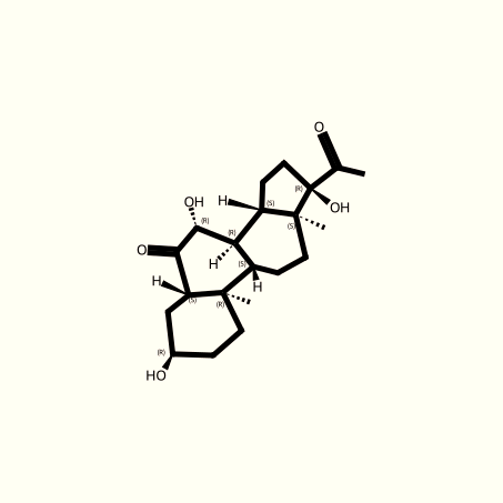 CC(=O)[C@@]1(O)CC[C@H]2[C@@H]3[C@@H](O)C(=O)[C@H]4C[C@H](O)CC[C@]4(C)[C@H]3CC[C@@]21C